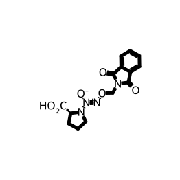 O=C(O)[C@@H]1CCCN1/[N+]([O-])=N/OCN1C(=O)c2ccccc2C1=O